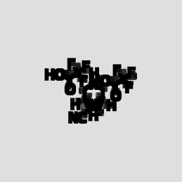 N#CC1=C[C@@H]2CNC[C@H]1N2.O=C(O)C(F)(F)F.O=C(O)C(F)(F)F